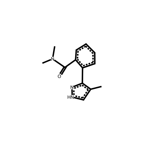 Cc1c[nH]nc1-c1ccccc1C(=O)N(C)C